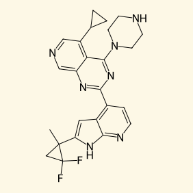 CC1(c2cc3c(-c4nc(N5CCNCC5)c5c(C6CC6)cncc5n4)ccnc3[nH]2)CC1(F)F